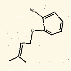 CC(=O)c1ccccc1OCC=C(C)C